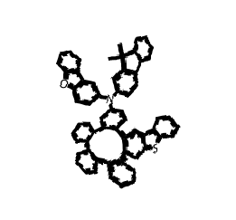 CC1(C)c2ccccc2-c2ccc(N(c3ccc4oc5ccccc5c4c3)c3ccc4c(c3)c3ccccc3c3ccccc3c3ccccc3c3cc5sc6ccccc6c5cc43)cc21